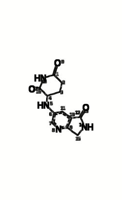 O=C1CCC(Nc2cnc3c(c2)C(=O)NC3)C(=O)N1